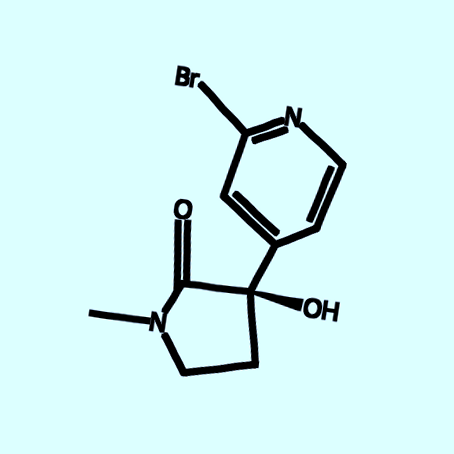 CN1CC[C@@](O)(c2ccnc(Br)c2)C1=O